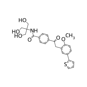 COc1ccc(-c2cccs2)cc1CC(=O)c1ccc(C(=O)NC(CO)(CO)CO)cc1